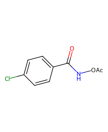 CC(=O)ONC(=O)c1ccc(Cl)cc1